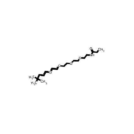 CCC(=O)NCCOCCOCCOCCOCCCC(C)(C)C